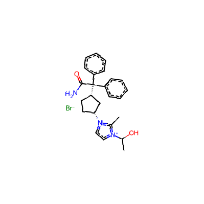 Cc1n([C@@H]2CC[C@H](C(C(N)=O)(c3ccccc3)c3ccccc3)C2)cc[n+]1C(C)O.[Br-]